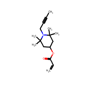 C=CC(=O)OC1CC(C)(C)N(CC#CC)C(C)(C)C1